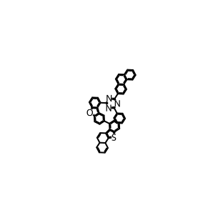 C1=CC2C=Cc3c(sc4cccc(-c5ccc6oc7cccc(-c8nc(-c9ccccc9)nc(-c9ccc%10c(ccc%11ccccc%11%10)c9)n8)c7c6c5)c34)C2C=C1